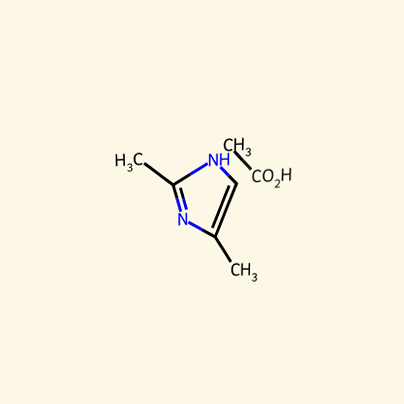 CC(=O)O.Cc1c[nH]c(C)n1